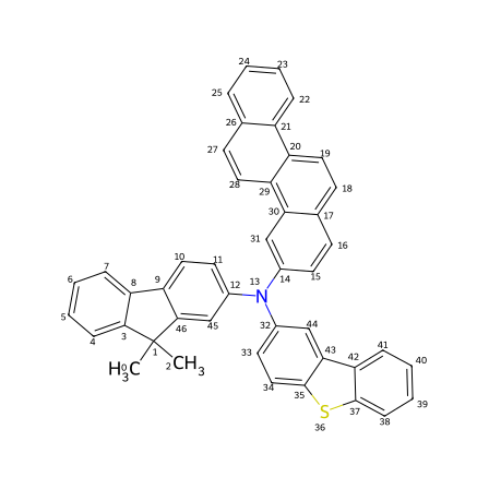 CC1(C)c2ccccc2-c2ccc(N(c3ccc4ccc5c6ccccc6ccc5c4c3)c3ccc4sc5ccccc5c4c3)cc21